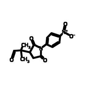 CC(C)(C=O)C1CC(=O)N(c2ccc([N+](=O)[O-])cc2)C1=O